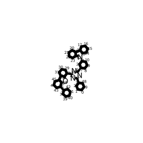 c1ccc(-c2nc(-c3cccc(-n4c5ccccc5c5ccccc54)c3)nc(-c3cccc4c3oc3c(-c5ccccc5)cccc34)n2)cc1